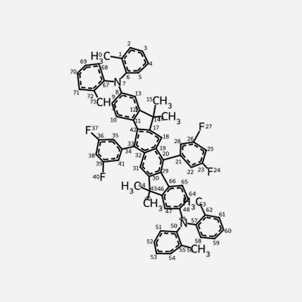 Cc1ccccc1N(c1ccc2c(c1)C(C)(C)c1cc3c(-c4cc(F)cc(F)c4)c4c(cc3c(-c3cc(F)cc(F)c3)c1-2)C(C)(C)c1cc(N(c2ccccc2C)c2ccccc2C)ccc1-4)c1ccccc1C